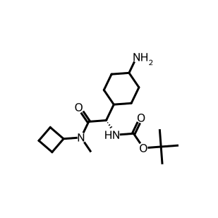 CN(C(=O)[C@@H](NC(=O)OC(C)(C)C)C1CCC(N)CC1)C1CCC1